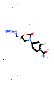 [N-]=[N+]=NC[C@H]1CN(c2ccc(C(N)=O)c(F)c2)C(=O)O1